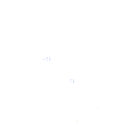 FC(F)(F)CN1CCN[C@H](c2ccccc2)C1